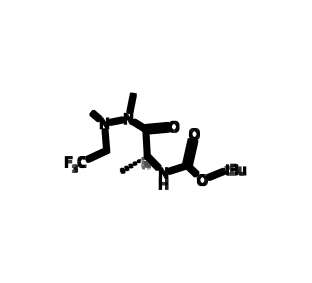 C[C@@H](NC(=O)OC(C)(C)C)C(=O)N(C)N(C)CC(F)(F)F